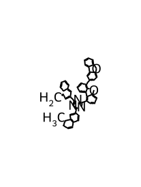 C=C/C=C(\C=C1\C=CC=CC1)c1nc(-c2ccc3c(c2)C(C)CC=C3)nc(-c2cccc3oc4c(-c5ccc6oc7ccccc7c6c5)cccc4c23)n1